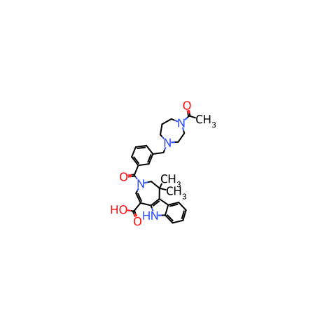 CC(=O)N1CCCN(Cc2cccc(C(=O)N3C=C(C(=O)O)c4[nH]c5ccccc5c4C(C)(C)C3)c2)CC1